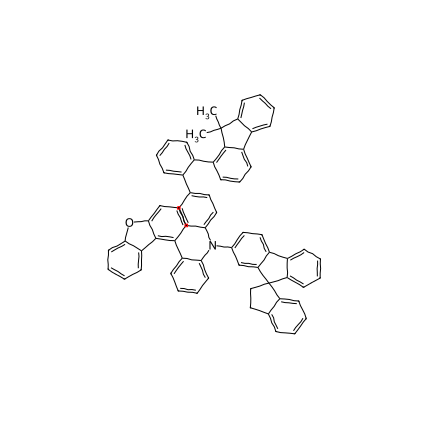 CC1(C)c2ccccc2-c2cccc(-c3ccccc3-c3ccc(N(c4ccc5c(c4)C4(CCc6ccccc64)c4ccccc4-5)c4ccccc4-c4cccc5oc6ccccc6c45)cc3)c21